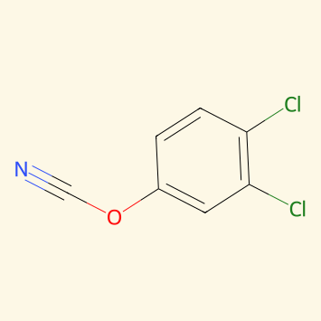 N#COc1ccc(Cl)c(Cl)c1